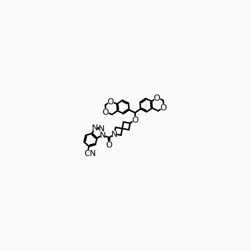 N#Cc1ccc2nnn(C(=O)N3CC4(CC(OC(c5ccc6c(c5)COCO6)c5ccc6c(c5)COCO6)C4)C3)c2c1